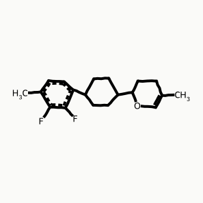 CC1=COC(C2CCC(c3ccc(C)c(F)c3F)CC2)CC1